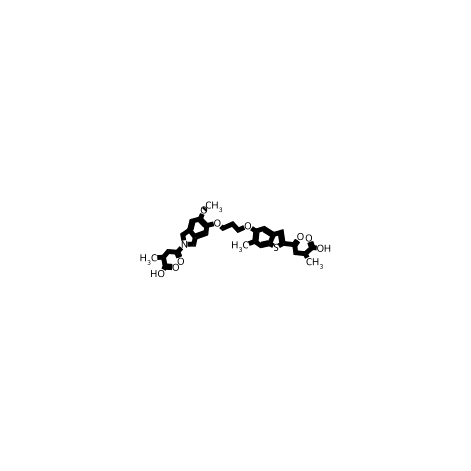 COc1cc2c(cc1OCCCOc1cc3cc(C(=O)CC(C)C(=O)O)sc3cc1C)CN(C(=O)CC(C)C(=O)O)C2